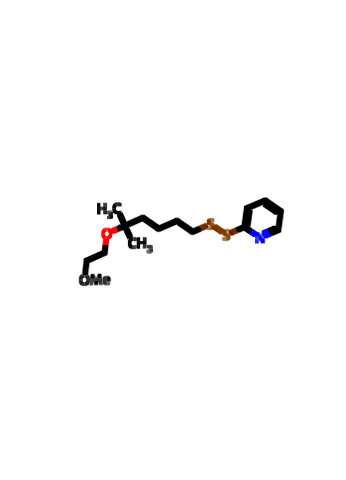 COCCOC(C)(C)CCCCSSc1ccccn1